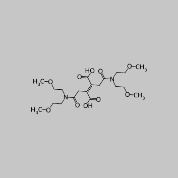 COCCN(CCOC)C(=O)C/C(C(=O)O)=C(/CC(=O)N(CCOC)CCOC)C(=O)O